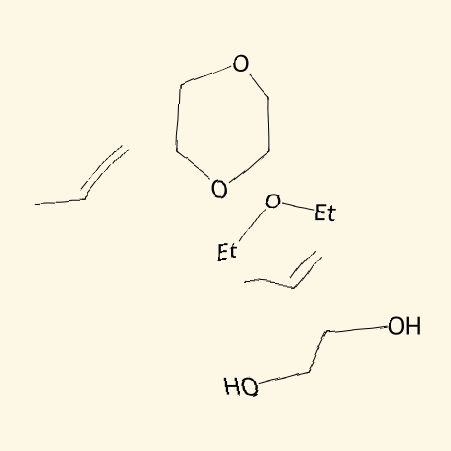 C1COCCO1.C=CC.C=CC.CCOCC.OCCO